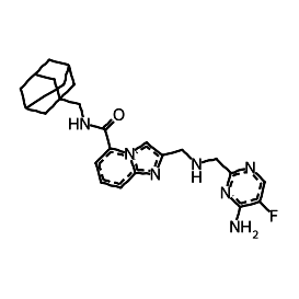 Nc1nc(CNCc2cn3c(C(=O)NCC45CC6CC(CC(C6)C4)C5)cccc3n2)ncc1F